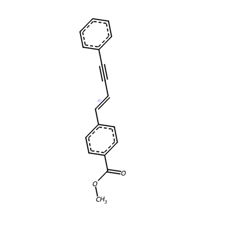 COC(=O)c1ccc(/C=C/C#Cc2ccccc2)cc1